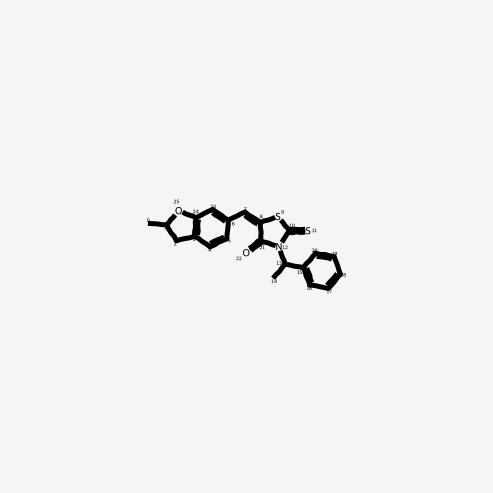 CC1Cc2ccc(C=C3SC(=S)N(C(C)c4ccccc4)C3=O)cc2O1